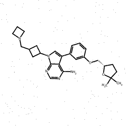 CC1(C)CC[C@@H](COc2cccc(-c3cn(C4CC(CN5CCC5)C4)c4ncnc(N)c34)c2)O1